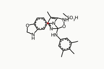 CC1=C2NOC(Nc3cc(C)c(C)c(C)c3)(N=C1)N2c1ccc2c(c1)NCO2.CS(=O)(=O)O